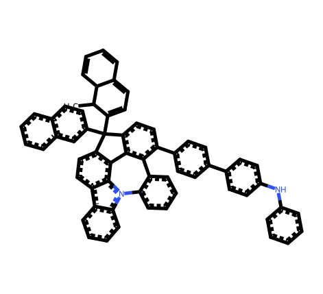 CC1C(C2(c3ccc4ccccc4c3)c3ccc(-c4ccc(-c5ccc(Nc6ccccc6)cc5)cc4)c4c3-c3c2ccc2c5ccccc5n(c32)-c2ccccc2-4)=CC=C2C=CC=CC21